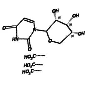 CC(=O)O.CC(=O)O.CC(=O)O.O=c1ccn(C2OC[C@@H](O)[C@@H](O)[C@H]2O)c(=O)[nH]1